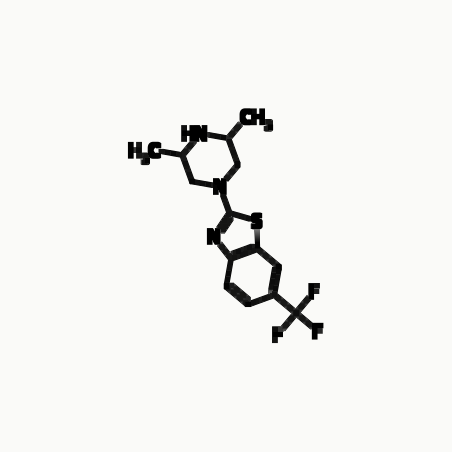 CC1CN(c2nc3ccc(C(F)(F)F)cc3s2)CC(C)N1